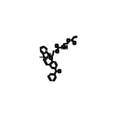 C=CC(=O)OCCNC(=O)OCCN1c2ccccc2C(C)(C)C12C=Cc1cc(C(=O)c3ccccc3)ccc1O2